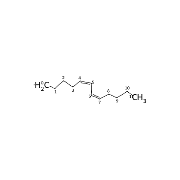 [CH2]CCC/C=C\C=C/CCCC